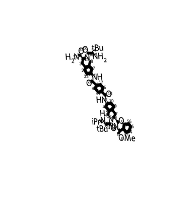 COCC(NC(=O)[C@@H]1Cc2ccc(NC(=O)c3ccc(C(=O)Nc4ccc5c(c4)CN(C(=O)[C@@H](N)C(C)(C)C)[C@H](C(N)=O)C5)cc3)cc2CN1C(=O)C(NC(C)C)C(C)(C)C)c1ccccc1